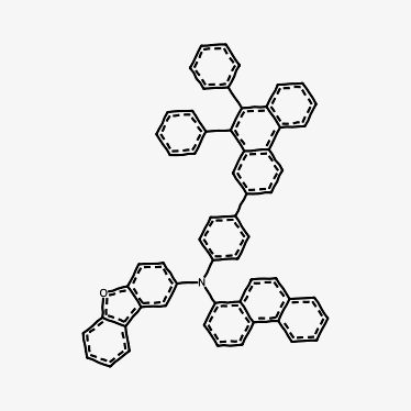 c1ccc(-c2c(-c3ccccc3)c3cc(-c4ccc(N(c5ccc6oc7ccccc7c6c5)c5cccc6c5ccc5ccccc56)cc4)ccc3c3ccccc23)cc1